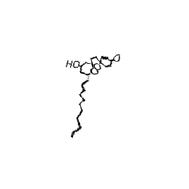 CCCCCCCCCCC[C@@H]1C[C@@H](O)C[C@]2(CCC3(C=CC(=O)C=C3)O2)O1